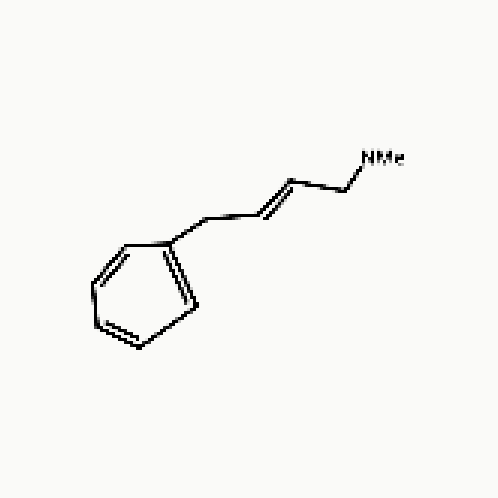 CNCC=CCc1ccccc1